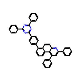 c1ccc(-c2cc(-c3ccccc3)c3c(ccc4c(-c5ccc(-c6nc(-c7ccccc7)nc(-c7ccccc7)n6)cc5)cccc43)n2)cc1